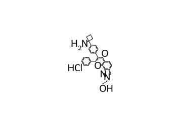 Cl.NC1(c2ccc(-c3c(-c4ccccc4)oc4c(ccc5cn(CCO)nc54)c3=O)cc2)CCC1